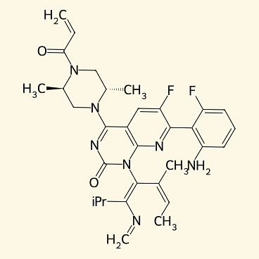 C=CC(=O)N1C[C@H](C)N(c2nc(=O)n(C(/C(C)=C\C)=C(/N=C)C(C)C)c3nc(-c4c(N)cccc4F)c(F)cc23)C[C@H]1C